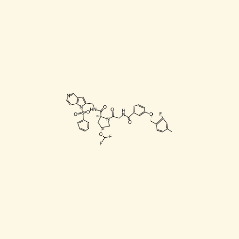 Cc1ccc(COc2cccc(C(=O)NCC(=O)N3C[C@H](OC(F)F)C[C@H]3C(=O)NCc3cc4cnccc4n3S(=O)(=O)c3ccccc3)c2)c(F)c1